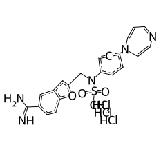 CS(=O)(=O)N(Cc1cc2cc(C(=N)N)ccc2o1)c1ccc(N2C=CC=NC=C2)cc1.Cl.Cl.Cl